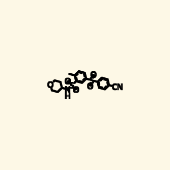 Cc1ccc(S(=O)(=O)c2ccc(C#N)cc2)cc1S(=O)(=O)NC1CCOCC1